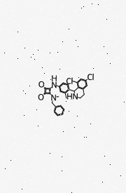 Cc1cc(Nc2c(N(C)Cc3ccccc3)c(=O)c2=O)ccc1C1NCCc2cc(Cl)cc(Cl)c21